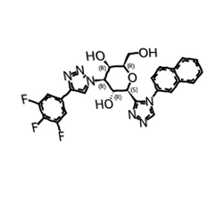 OC[C@H]1O[C@@H](c2nncn2-c2ccc3ccccc3c2)[C@H](O)[C@@H](n2cc(-c3cc(F)c(F)c(F)c3)nn2)[C@H]1O